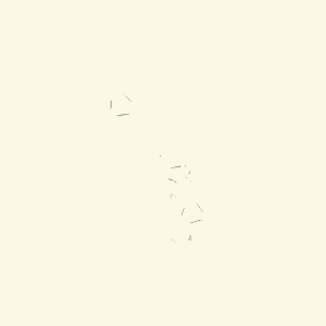 CC(=O)Nc1cc(Nc2ncnc(N3CCC(OCc4ccc(OC(F)(F)F)cc4)CC3)n2)ccc1OC(F)(F)F